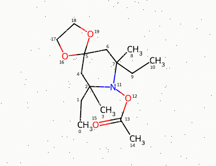 CCC1(C)CC2(CC(C)(CC)N1OC(C)=O)OCCO2